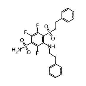 NS(=O)(=O)c1c(F)c(F)c(S(=O)(=O)CCc2ccccc2)c(NCCc2ccccc2)c1F